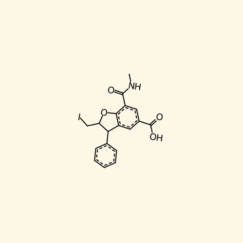 CNC(=O)c1cc(C(=O)O)cc2c1OC(CI)C2c1ccccc1